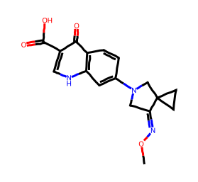 CON=C1CN(c2ccc3c(=O)c(C(=O)O)c[nH]c3c2)CC12CC2